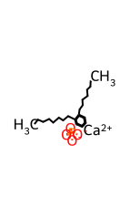 CCCCCCCCc1cccc(OP(=O)([O-])[O-])c1CCCCCCCC.[Ca+2]